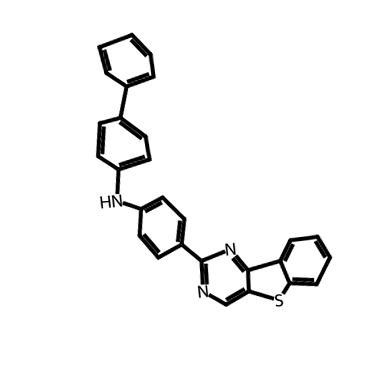 c1ccc(-c2ccc(Nc3ccc(-c4ncc5sc6ccccc6c5n4)cc3)cc2)cc1